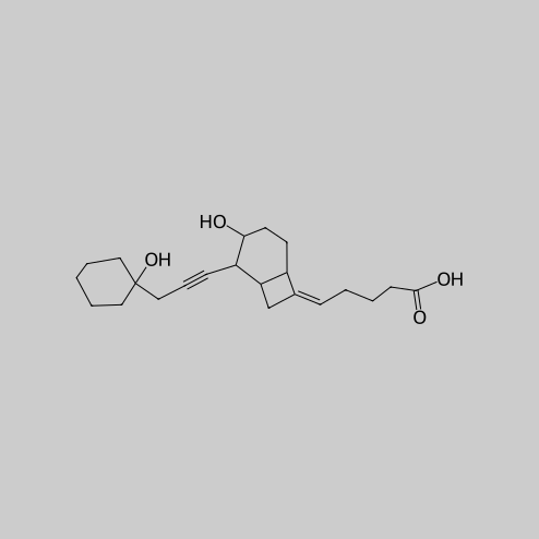 O=C(O)CCC/C=C1/CC2C1CCC(O)C2C#CCC1(O)CCCCC1